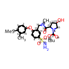 CSc1ccc(Oc2ccc(S(N)(=O)=O)cc2CN(C)C(=O)C2CC(O)CN2C(=O)OC(C)(C)C)cc1C